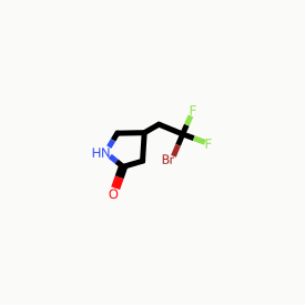 O=C1CC(CC(F)(F)Br)CN1